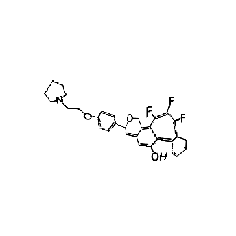 Oc1cc2c(c3c1=c1ccccc1=C(F)C(F)=C3F)COC(c1ccc(OCCN3CCCCC3)cc1)C=2